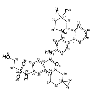 O=C(Nc1ccc(-c2cccnc2)c(N2CCC(F)(F)CC2)n1)c1ccc(NS(=O)(=O)CCO)cc1N1CCC2(CC1)CC2